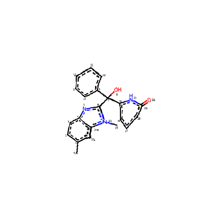 Cc1ccc2nc(C(O)(c3ccccc3)c3cccc(=O)[nH]3)n(C)c2c1